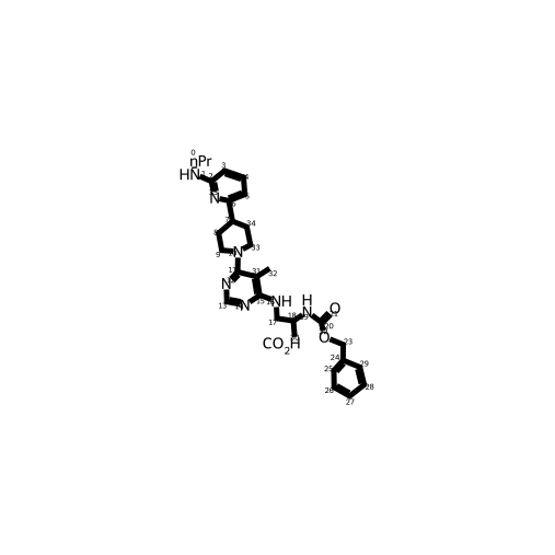 CCCNc1cccc(C2CCN(c3ncnc(NCC(NC(=O)OCc4ccccc4)C(=O)O)c3C)CC2)n1